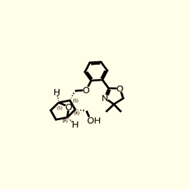 CC1(C)COC(c2ccccc2OC[C@@H]2[C@H](CO)[C@H]3CC[C@@H]2O3)=N1